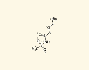 CC(C)(C)COCC(=O)NS(C)(=O)=O